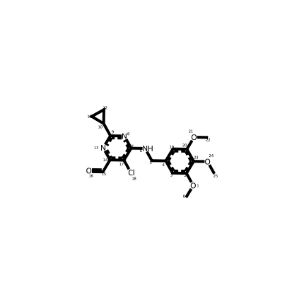 COc1cc(CNc2nc(C3CC3)nc(C=O)c2Cl)cc(OC)c1OC